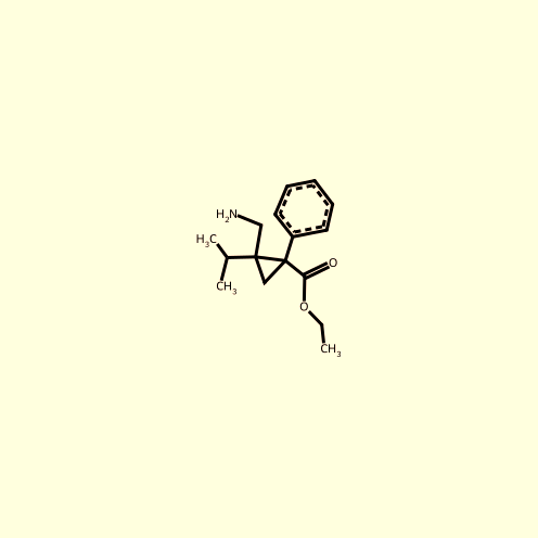 CCOC(=O)C1(c2ccccc2)CC1(CN)C(C)C